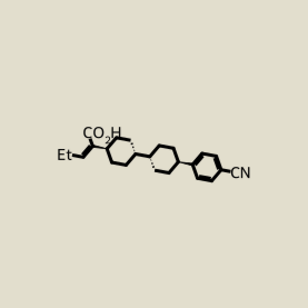 CCC=C(C(=O)O)[C@H]1CC[C@H]([C@H]2CC[C@H](c3ccc(C#N)cc3)CC2)CC1